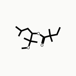 CCC(C)(C)C(=O)OC(CC(C)C)C(C)(C)OC